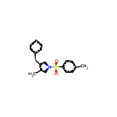 Cc1ccc(S(=O)(=O)n2cc(C)c(Cc3ccccc3)c2)cc1